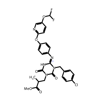 COC(=O)C(C)Cn1c(=O)[nH]/c(=N\c2ccc(Oc3ccc(OC(F)F)cn3)cc2)n(Cc2ccc(Cl)cc2)c1=O